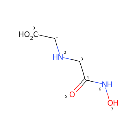 O=C(O)CNCC(=O)NO